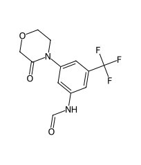 O=CNc1cc(N2CCOCC2=O)cc(C(F)(F)F)c1